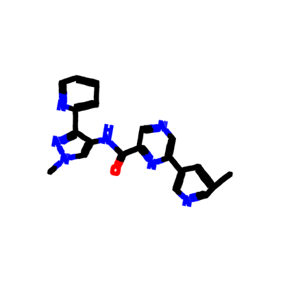 Cc1cncc(-c2cncc(C(=O)Nc3cn(C)nc3-c3ccccn3)n2)c1